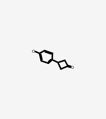 O=C1CC(c2ccc(Cl)cc2)C1